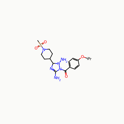 CC(C)Oc1ccc(C(=O)N2C(N)=NC(C3CCN(S(C)(=O)=O)CC3)N2N)cc1